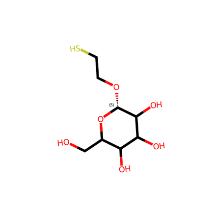 OCC1O[C@H](OCCS)C(O)C(O)C1O